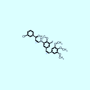 COc1cc(/C=C\c2cc(F)c(OC)c(N/C=C\C(=O)c3cccc(Cl)c3)c2)cc(OC)c1OC